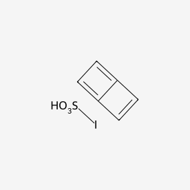 O=S(=O)(O)I.c1cc2ccc1-2